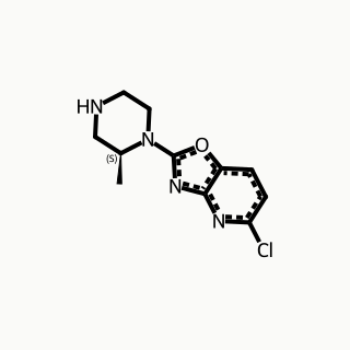 C[C@H]1CNCCN1c1nc2nc(Cl)ccc2o1